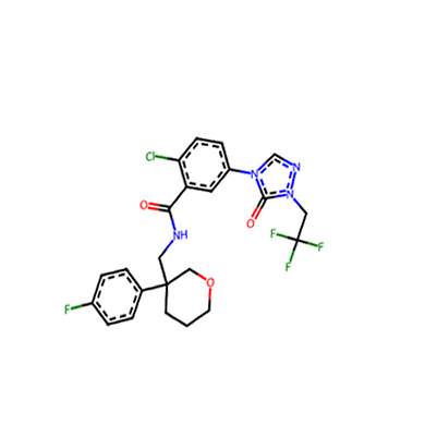 O=C(NCC1(c2ccc(F)cc2)CCCOC1)c1cc(-n2cnn(CC(F)(F)F)c2=O)ccc1Cl